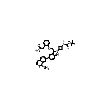 CC(C)(C)OC(=O)NC1CC(n2nc3ccc(-c4ccc5ccnc(N)c5c4)cc3c2COc2ccccc2CC(=O)O)C1